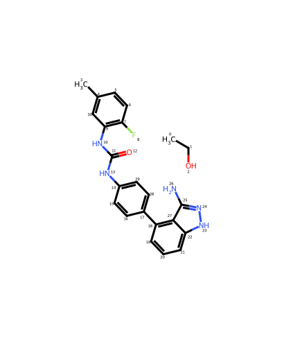 CCO.Cc1ccc(F)c(NC(=O)Nc2ccc(-c3cccc4[nH]nc(N)c34)cc2)c1